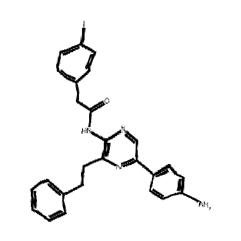 Nc1ccc(-c2cnc(NC(=O)Cc3ccc(I)cc3)c(CCc3ccccc3)n2)cc1